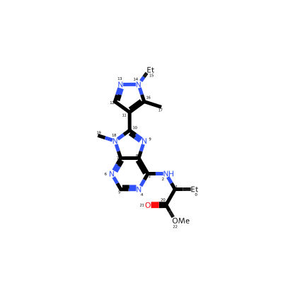 CCC(Nc1ncnc2c1nc(-c1cnn(CC)c1C)n2C)C(=O)OC